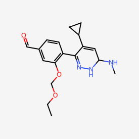 CCOCOc1cc(C=O)ccc1C1=NNC(NC)C=C1C1CC1